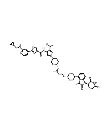 CC1C(=O)N(C2CCC(=O)NC2=O)c2cccc(C3CCN(CCCN(C)C[C@H]4CC[C@H](n5cc(NC(=O)c6coc(-c7ccnc(NCC8CC8)c7)n6)c(C(F)F)n5)CC4)CC3)c21